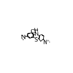 CN(C)c1ccc2c(c1)SC1=C(C=CC(=[N+])C1)N2.[Cl-]